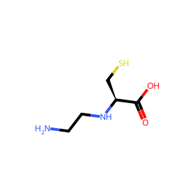 NCCN[C@@H](CS)C(=O)O